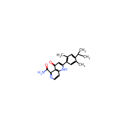 Cc1cc(C(C)C)c(C)cc1-c1cc(=O)c2c(C(N)=O)nccc2[nH]1